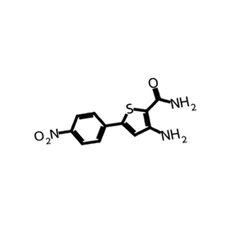 NC(=O)c1sc(-c2ccc([N+](=O)[O-])cc2)cc1N